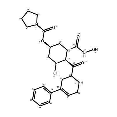 CN1C[C@@H](OC(=O)N2CCCC2)C[C@H](C(=O)NO)[C@H]1C(=O)C1CC(c2ccccc2)=CCN1